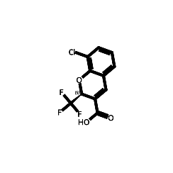 O=C(O)C1=Cc2cccc(Cl)c2O[C@@H]1C(F)(F)F